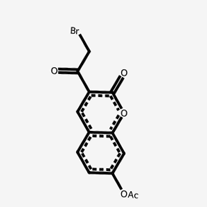 CC(=O)Oc1ccc2cc(C(=O)CBr)c(=O)oc2c1